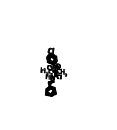 CC(C)(C(=O)NCCc1ccccc1)S(=O)(=O)c1ccc(Cl)cc1